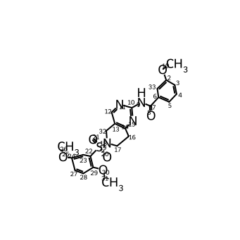 COc1cccc(C(=O)Nc2ncc3c(n2)CCN(S(=O)(=O)c2cc(OC)ccc2OC)C3)c1